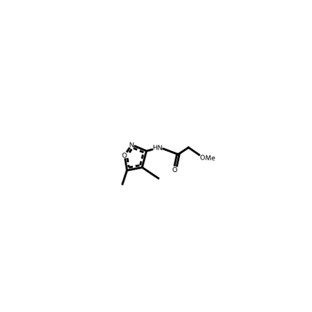 [CH2]OCC(=O)Nc1noc(C)c1C